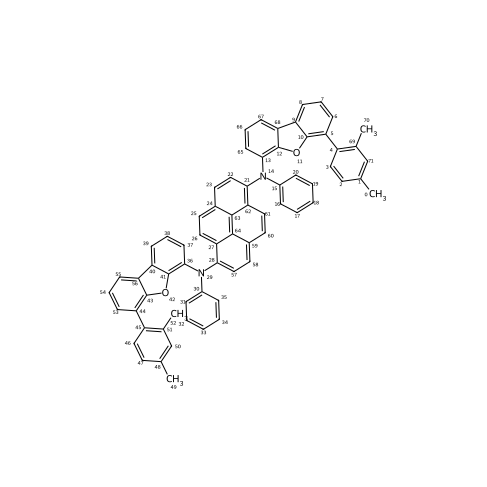 Cc1ccc(-c2cccc3c2oc2c(N(c4ccccc4)c4ccc5ccc6c(N(c7ccccc7)c7cccc8c7oc7c(-c9ccc(C)cc9C)cccc78)ccc7ccc4c5c76)cccc23)c(C)c1